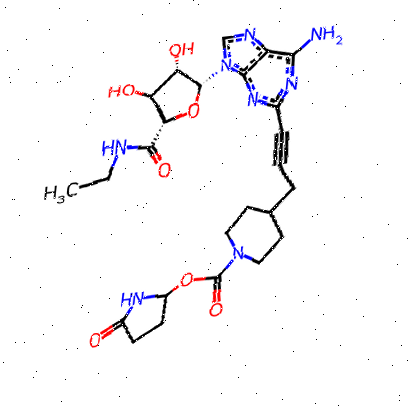 CCNC(=O)[C@H]1O[C@@H](n2cnc3c(N)nc(C#CCC4CCN(C(=O)OC5CCC(=O)N5)CC4)nc32)[C@@H](O)C1O